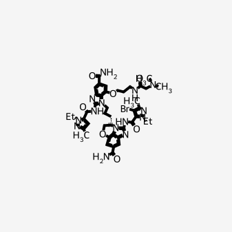 CCn1nc(C)cc1C(=O)Nc1nc2cc(C(N)=O)cc(OCCCNC(=O)CN(C)C)c2n1CCC[C@H]1COc2cc(C(N)=O)cc3nc(NC(=O)c4c(Br)c(C)nn4CC)n1c23